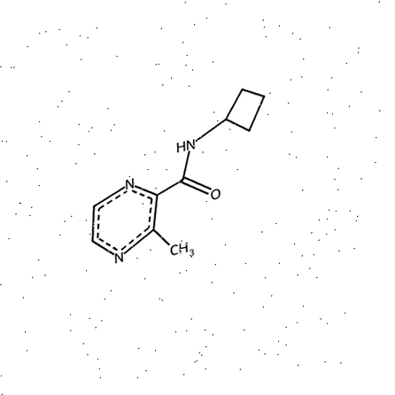 Cc1nccnc1C(=O)NC1CCC1